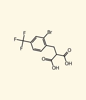 O=C(O)C(Cc1ccc(C(F)(F)F)cc1Br)C(=O)O